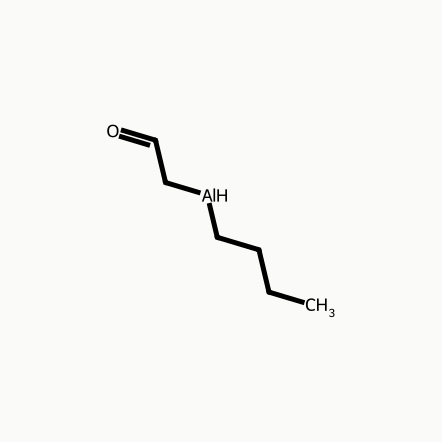 CCC[CH2][AlH][CH2]C=O